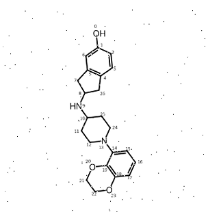 Oc1ccc2c(c1)CC(NC1CCN(c3cccc4c3OCCO4)CC1)C2